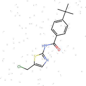 CC(C)(C)c1ccc(C(=O)Nc2ncc(CCl)s2)cc1